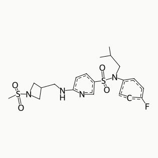 CC(C)CN(c1ccc(F)cc1)S(=O)(=O)c1ccc(NCC2CN(S(C)(=O)=O)C2)nc1